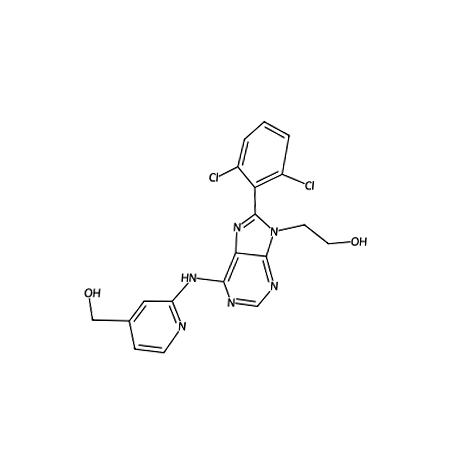 OCCn1c(-c2c(Cl)cccc2Cl)nc2c(Nc3cc(CO)ccn3)ncnc21